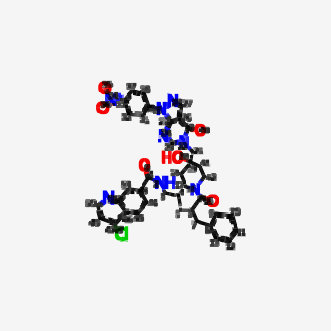 O=C(NCCCC(Cc1ccccc1)C(=O)N1CCC(O)(Cn2cnc3c(cnn3-c3ccc([N+](=O)[O-])cc3)c2=O)CC1)c1ccc2c(Cl)ccnc2c1